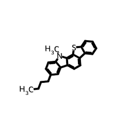 CCCCc1ccc2c(c1)c1ccc3c4ccccc4sc3c1n2C